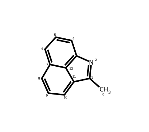 CC1=Nc2cccc3cccc1c23